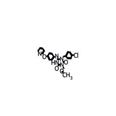 COCn1c(=O)[nH]/c(=N\c2ccc(Oc3ccccn3)cc2)n(Cc2ccc(Cl)cc2)c1=O